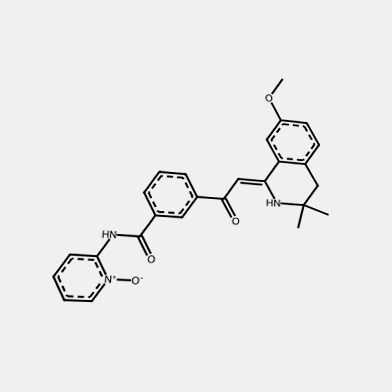 COc1ccc2c(c1)C(=CC(=O)c1cccc(C(=O)Nc3cccc[n+]3[O-])c1)NC(C)(C)C2